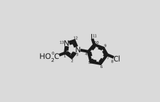 O=C(O)c1cn(-c2ccc(Cl)cc2I)cn1